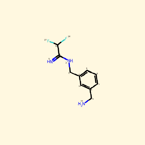 N=C(NCc1cccc(CN)c1)C(F)F